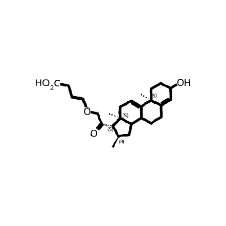 C[C@@H]1CC2C3CCC4=CC(O)CC[C@]4(C)C3=CC[C@]2(C)[C@H]1C(=O)COCCCC(=O)O